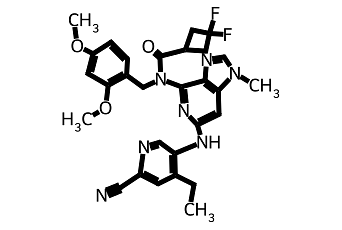 CCc1cc(C#N)ncc1Nc1cc2c(ncn2C)c(N(Cc2ccc(OC)cc2OC)C(=O)C2CC(F)(F)C2)n1